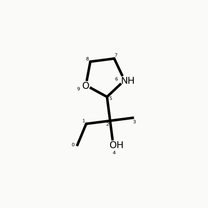 CCC(C)(O)C1NCCO1